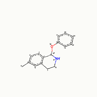 Cc1ccc2c(c1)CCN[C]2Oc1ccccc1